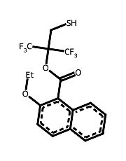 CCOc1ccc2ccccc2c1C(=O)OC(CS)(C(F)(F)F)C(F)(F)F